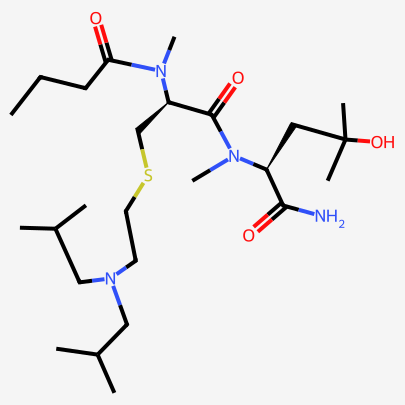 CCCC(=O)N(C)[C@H](CSCCN(CC(C)C)CC(C)C)C(=O)N(C)[C@@H](CC(C)(C)O)C(N)=O